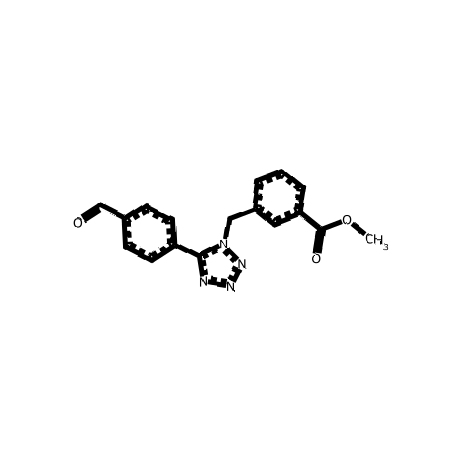 COC(=O)c1cccc(Cn2nnnc2-c2ccc(C=O)cc2)c1